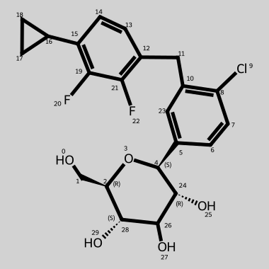 OC[C@H]1O[C@@H](c2ccc(Cl)c(Cc3ccc(C4CC4)c(F)c3F)c2)[C@H](O)C(O)[C@@H]1O